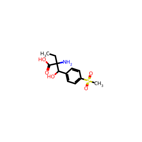 CCC(N)(C(=O)O)C(O)c1ccc(S(C)(=O)=O)cc1